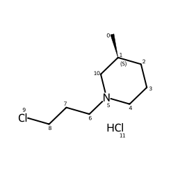 C[C@H]1CCCN(CCCCl)C1.Cl